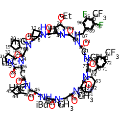 CCO[C@@H]1C[C@H]2C(=O)NC3(CCC3)C(=O)N(C)[C@@H](C3CCCC3)C(=O)N(C)[C@H](C(=O)N3CCCC3)CC(=O)N(C)[C@@H](CC3CCC3)C(=O)N[C@@H]([C@@H](C)CC)C(=O)N(C)CC(=O)N(C)[C@H]3C/C=C\CCN(C3=O)[C@@H](Cc3ccc(C(F)(F)F)cc3)C(=O)N(C)CC(=O)N[C@@H](CCc3cc(F)c(C(F)(F)F)c(F)c3)C(=O)N2C1